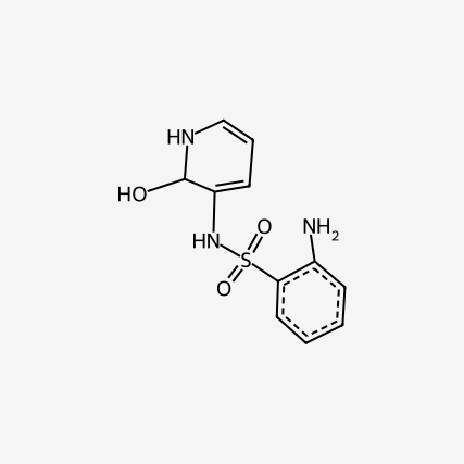 Nc1ccccc1S(=O)(=O)NC1=CC=CNC1O